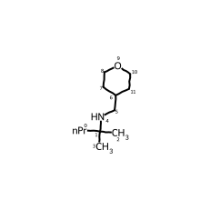 CCCC(C)(C)NCC1CCOCC1